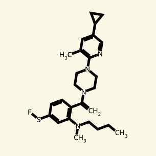 C=C(c1ccc(SF)cc1N(C)CCCC)N1CCN(c2ncc(C3CC3)cc2C)CC1